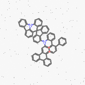 c1ccc(-c2ccccc2-c2ccccc2N(c2ccc3c4ccccc4c4ccccc4c3c2)c2cccc3c2-c2ccccc2C32c3ccccc3-n3c4ccccc4c4cccc2c43)cc1